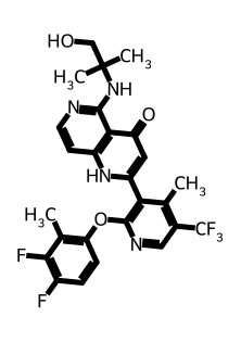 Cc1c(Oc2ncc(C(F)(F)F)c(C)c2-c2cc(=O)c3c(NC(C)(C)CO)nccc3[nH]2)ccc(F)c1F